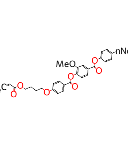 C=CC(=O)OCCCCOc1ccc(C(=O)Oc2ccc(C(=O)Oc3ccc(CCCCCCCCC)cc3)cc2OC)cc1